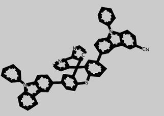 N#Cc1ccc2c(c1)c1cc(-c3ccc4c(c3)C3(c5cc(-c6ccc7c(c6)c6ccccc6n7-c6ccccc6)ccc5S4)c4cccnc4-c4ncccc43)ccc1n2-c1ccccc1